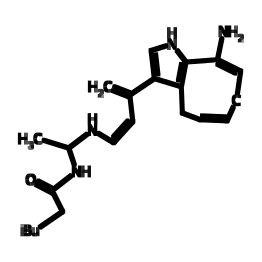 C=C(/C=C\NC(C)NC(=O)CC(C)CC)c1c[nH]c2c1CC=CC/C=C\2N